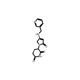 O=C1CCC(N2CC(NCc3cccnc3)=CC2=O)C(=O)N1